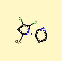 Clc1cc(C(Cl)(Cl)Cl)[nH]c1Cl.c1ccncc1